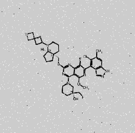 COc1nc(-c2c(Cl)c(C)cc3[nH]ncc23)c(F)c2nc(OC[C@]34CCC[C@H]3N(C3CC5(COC5)C3)CCC4)nc(N3CCC[C@](O)(CF)C3)c12